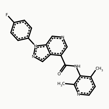 Cc1ccnc(C)c1NC(=O)c1cncc2c1cnn2-c1ccc(F)cc1